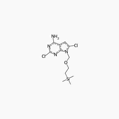 C[Si](C)(C)CCOCn1c(Cl)cc2c(N)nc(Cl)nc21